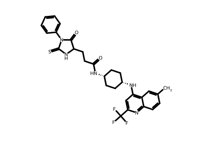 Cc1ccc2nc(C(F)(F)F)cc(N[C@H]3CC[C@@H](NC(=O)CCC4NC(=S)N(c5ccccc5)C4=O)CC3)c2c1